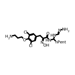 CCCCCC(NC=NN)NC(=O)C(Cc1cc(Cl)c(OCCCN)c(Cl)c1)=NO